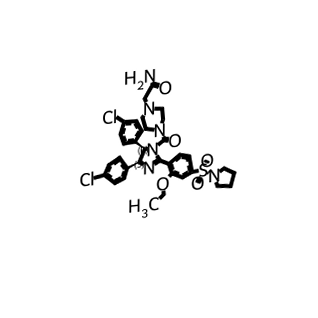 CCOc1cc(S(=O)(=O)N2CCCC2)ccc1C1=N[C@@H](c2ccc(Cl)cc2)[C@@H](c2ccc(Cl)cc2)N1C(=O)N1CCN(CC(N)=O)CC1